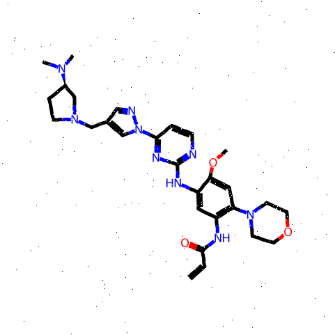 C=CC(=O)Nc1cc(Nc2nccc(-n3cc(CN4CC[C@@H](N(C)C)C4)cn3)n2)c(OC)cc1N1CCOCC1